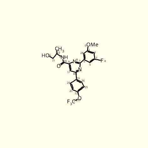 COc1cc(F)cc(-c2nc(C(=O)NC(C)CO)cc(-c3ccc(OC(F)(F)F)cc3)n2)c1